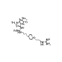 N=C(N)NCCOc1ccc(CCCCNC(=N)NC(=O)c2nc(Cl)c(N)nc2N)cc1